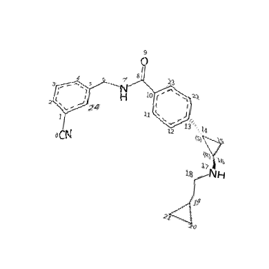 N#Cc1cccc(CNC(=O)c2ccc([C@@H]3C[C@H]3NCC3CC3)cc2)c1